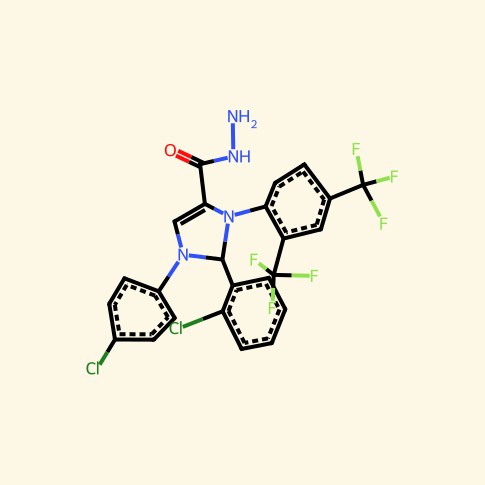 NNC(=O)C1=CN(c2ccc(Cl)cc2)C(c2ccccc2Cl)N1c1ccc(C(F)(F)F)cc1C(F)(F)F